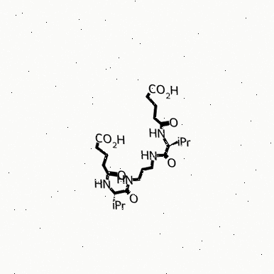 CC(C)[C@H](NC(=O)CCCC(=O)O)C(=O)NCCCNC(=O)[C@@H](NC(=O)CCCC(=O)O)C(C)C